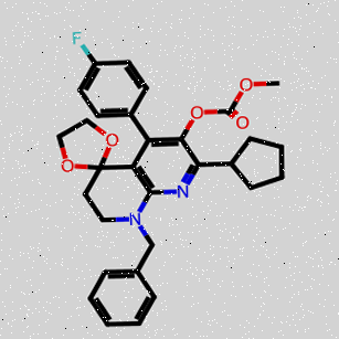 COC(=O)Oc1c(C2CCCC2)nc2c(c1-c1ccc(F)cc1)C1(CCN2Cc2ccccc2)OCCO1